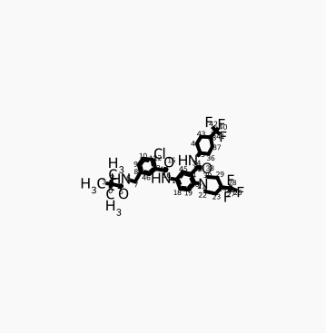 CC(C)(C)C(=O)NCc1ccc(Cl)c(C(=O)Nc2ccc(N3CCC(C(F)(F)F)CC3)c(C(=O)NC3CCC(C(F)(F)F)CC3)c2)c1